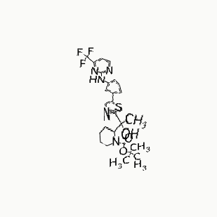 CC(C)(C)OC(=O)N1CCCCC1C(C)(O)c1ncc(-c2cccc(Nc3nccc(C(F)(F)F)n3)c2)s1